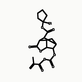 C=C(C)C(=O)OC(=O)OC1C2CC3C1OC(=O)C3C2C(=O)OC1(CC)CCCC1